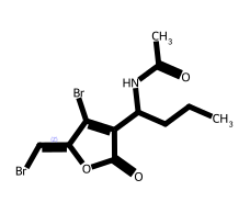 CCCC(NC(C)=O)C1=C(Br)/C(=C/Br)OC1=O